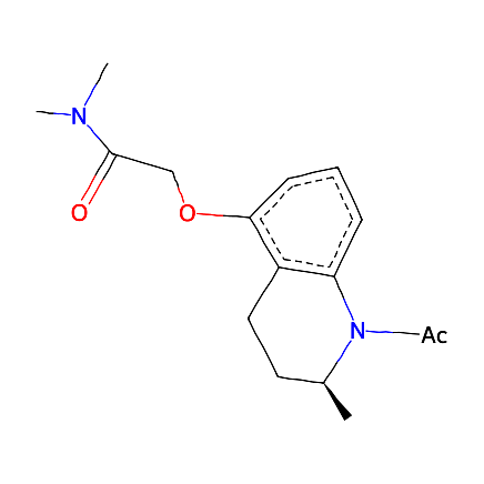 CC(=O)N1c2cccc(OCC(=O)N(C)C)c2CC[C@@H]1C